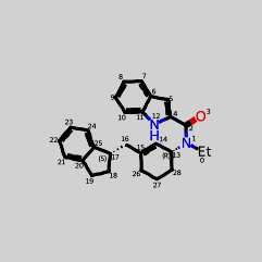 CCN(C(=O)c1cc2ccccc2[nH]1)[C@H]1C=C(C[C@@H]2CCc3ccccc32)CCC1